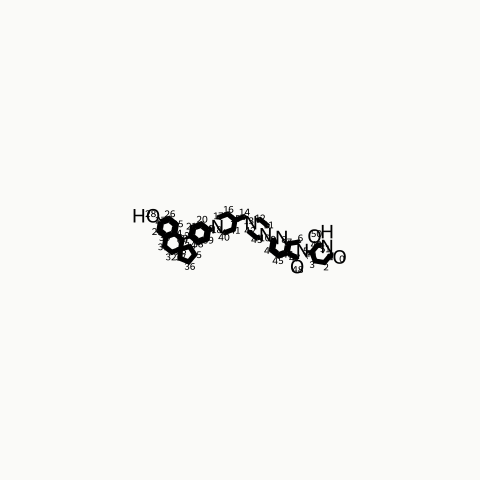 O=C1CC[C@@H](N2Cc3nc(N4CCN(CC5CCN(c6ccc([C@@H]7c8ccc(O)cc8CCC78CCCC8)cc6)CC5)CC4)ccc3C2=O)C(=O)N1